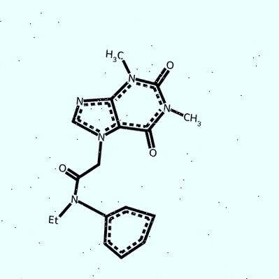 CCN(C(=O)Cn1cnc2c1c(=O)n(C)c(=O)n2C)c1ccccc1